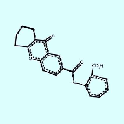 O=C(Nc1ccccc1C(=O)O)c1ccc2oc3c(c(=O)c2c1)CCCC3